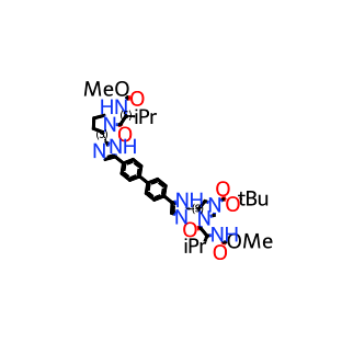 COC(=O)NC(C(=O)N1CN(C(=O)OC(C)(C)C)C[C@H]1c1ncc(-c2ccc(-c3ccc(-c4cnc([C@@H]5CCCN5C(=O)[C@@H](NC(=O)OC)C(C)C)[nH]4)cc3)cc2)[nH]1)C(C)C